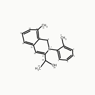 Cc1ccccc1N1Cc2c(C)cccc2C=C1C(C)O